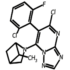 CC1C2CC1N(c1c(-c3c(F)cccc3Cl)c(Cl)nc3ncnn13)C2